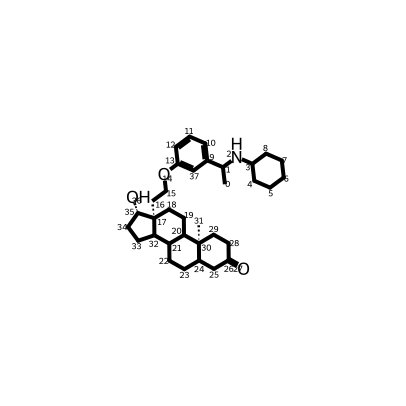 CC(NC1CCCCC1)c1cccc(OCC[C@]23CCC4C(CCC5CC(=O)CC[C@@]54C)C2CC[C@@H]3O)c1